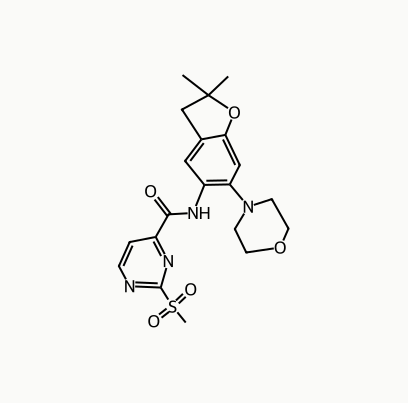 CC1(C)Cc2cc(NC(=O)c3ccnc(S(C)(=O)=O)n3)c(N3CCOCC3)cc2O1